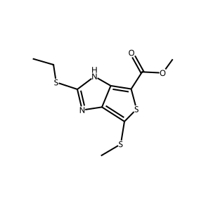 CCSc1nc2c(SC)sc(C(=O)OC)c2[nH]1